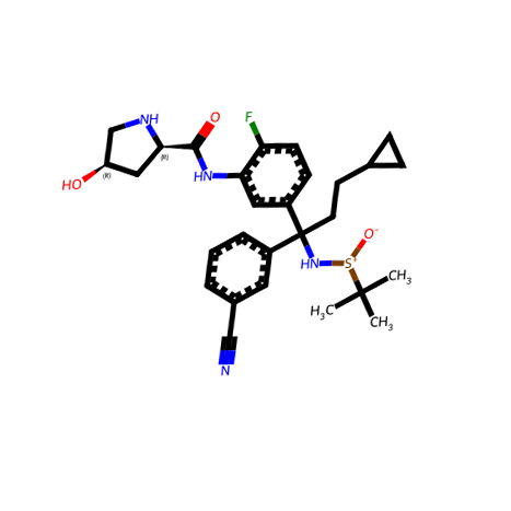 CC(C)(C)[S+]([O-])NC(CCC1CC1)(c1cccc(C#N)c1)c1ccc(F)c(NC(=O)[C@H]2C[C@@H](O)CN2)c1